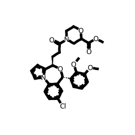 COC(=O)C1CN(C(=O)CC[C@H]2O[C@H](c3cccc(OC)c3OC)c3cc(Cl)ccc3-n3cccc32)CCO1